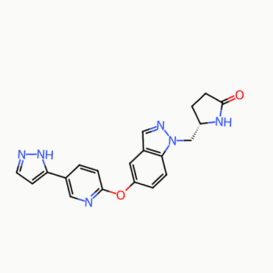 O=C1CC[C@@H](Cn2ncc3cc(Oc4ccc(-c5ccn[nH]5)cn4)ccc32)N1